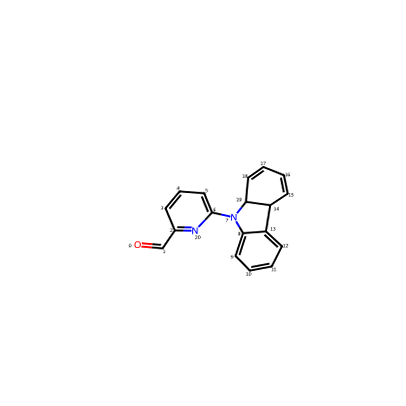 O=Cc1cccc(N2c3ccccc3C3C=CC=CC32)n1